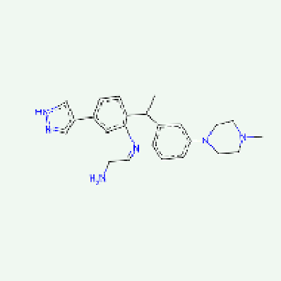 CC(c1cccc(N2CCN(C)CC2)c1)c1ccc(-c2cn[nH]c2)cc1/N=C\CN